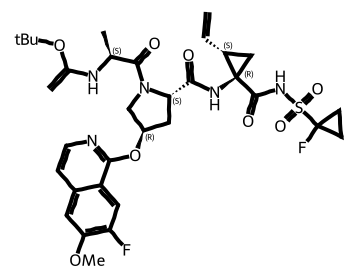 C=C[C@@H]1C[C@]1(NC(=O)[C@@H]1C[C@@H](Oc2nccc3cc(OC)c(F)cc23)CN1C(=O)[C@H](C)NC(=C)OC(C)(C)C)C(=O)NS(=O)(=O)C1(F)CC1